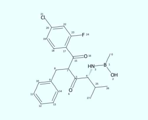 CB(O)N[C@@H](C(=O)C(Cc1ccccc1)C(=O)c1ccc(Cl)cc1F)C(C)C